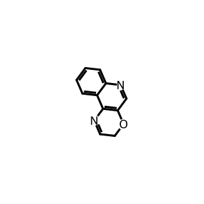 C1=Nc2c(cnc3ccccc23)OC1